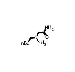 CCCCCN(N)CC(N)=O